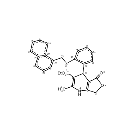 CCOC(=O)C1=C(C)NC2=C(C(=O)OC2)C1c1ccccc1SCc1cccc2ccccc12